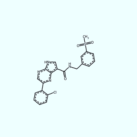 CS(=O)(=O)c1cccc(CNC(=O)c2c[nH]c3ncc(-c4ccccc4Cl)nc23)c1